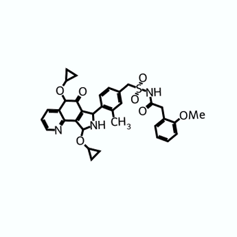 COc1ccccc1CC(=O)NS(=O)(=O)Cc1ccc(C2NC(OC3CC3)C3=C2C(=O)C(OC2CC2)c2cccnc23)c(C)c1